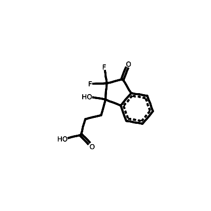 O=C(O)CCC1(O)c2ccccc2C(=O)C1(F)F